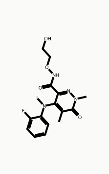 Cc1c(N(I)c2ccccc2F)c(C(=O)NOCCO)nn(C)c1=O